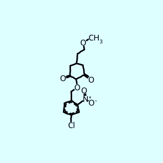 COCCC1CC(=O)C(OCc2ccc(Cl)cc2[N+](=O)[O-])C(=O)C1